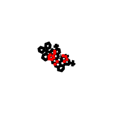 CC(C)(C)c1cc(-c2cccc3cccc(-c4ccccc4N(c4ccc(C(C)(C)C)cc4-c4ccccc4)c4ccccc4-c4cccc5c4-c4ccccc4C5(c4ccccc4)c4ccccc4)c23)cc(C(C)(C)C)c1